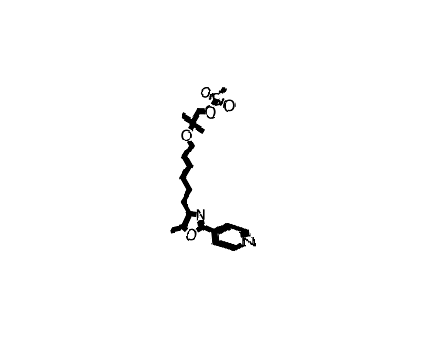 Cc1oc(-c2ccncc2)nc1CCCCCCOC(C)(C)COS(C)(=O)=O